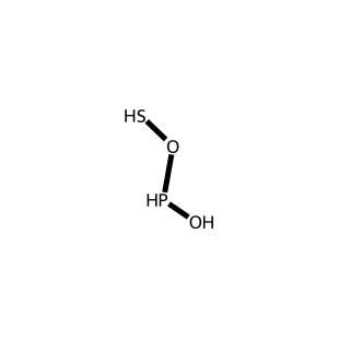 OPOS